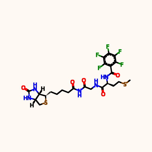 CSCC[C@H](NC(=O)c1c(F)c(F)c(F)c(F)c1F)C(=O)NCC(=O)NC(=O)CCCC[C@@H]1SC[C@@H]2NC(=O)N[C@@H]21